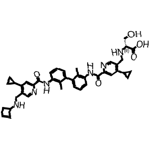 Cc1c(NC(=O)c2cc(C3CC3)c(CNC3CCC3)cn2)cccc1-c1cccc(NC(=O)c2cc(C3CC3)c(CN[C@H](CO)C(=O)O)cn2)c1C